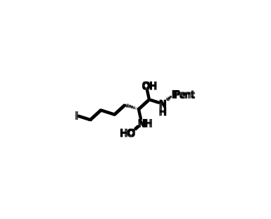 CCC[C@@H](C)NC(O)[C@@H](CCCCI)NO